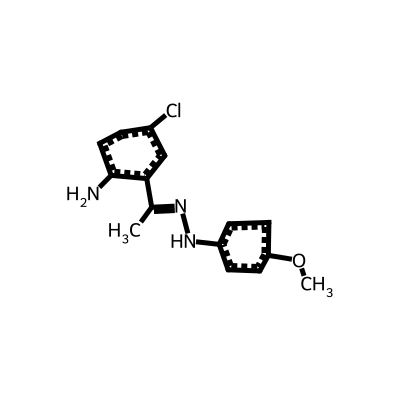 COc1ccc(N/N=C(\C)c2cc(Cl)ccc2N)cc1